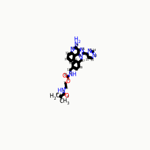 C=C(C)C(=O)NCCOC(=O)NCc1ccc(Cn2c(-c3ccncn3)nc3c(N)nc4ccccc4c32)cc1